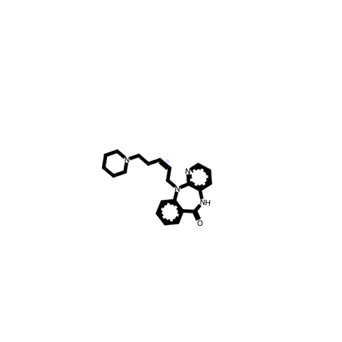 O=C1Nc2cccnc2N(C/C=C\CCN2CCCCC2)c2ccccc21